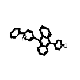 Clc1ccc(-c2c3ccccc3c(-c3ccc(-c4ccccc4)nc3)c3ccccc23)cc1